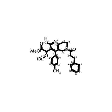 COC(=O)C(OC(C)(C)C)c1c(C)nc2c(c1-c1ccc(C)cc1)CN(C(=O)CCc1ccccc1)CC2